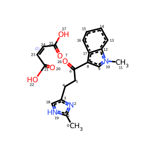 Cc1nc(CCC(=O)c2cn(C)c3ccccc23)c[nH]1.O=C(O)/C=C\C(=O)O